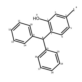 Oc1cc(I)ccc1C(c1ccccc1)c1ccccc1